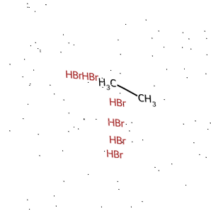 Br.Br.Br.Br.Br.Br.CC